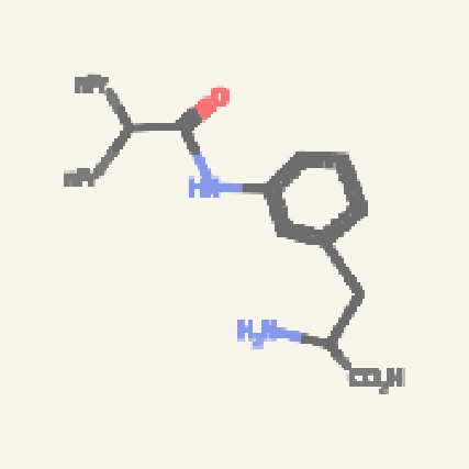 CCCC(CCC)C(=O)Nc1cccc(CC(N)C(=O)O)c1